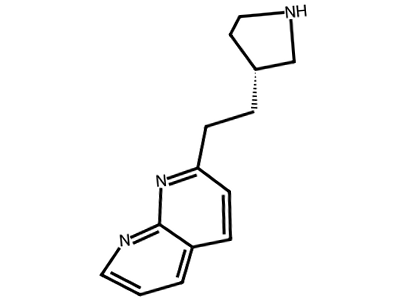 c1cnc2nc(CC[C@@H]3CCNC3)ccc2c1